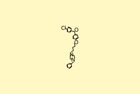 O=C(c1ccc(Cl)cc1)c1ccc(OCCCCCN2CCN(Cc3ccccc3)CC2)cc1